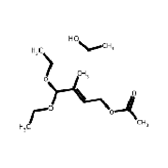 CCO.CCOC(OCC)C(C)=CCOC(C)=O